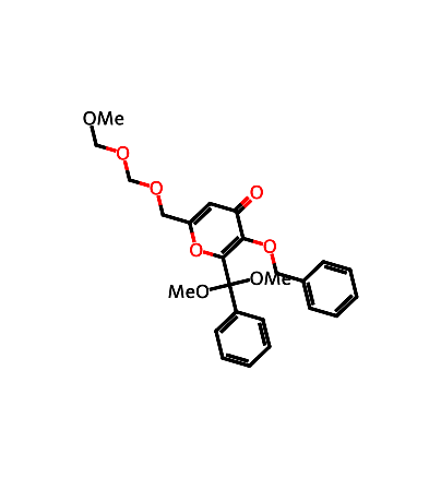 COCOCOCc1cc(=O)c(OCc2ccccc2)c(C(OC)(OC)c2ccccc2)o1